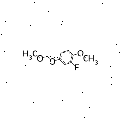 COCOc1ccc(OC)c(F)c1